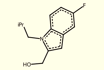 CC(C)Cn1c(CO)cc2cc(F)ccc21